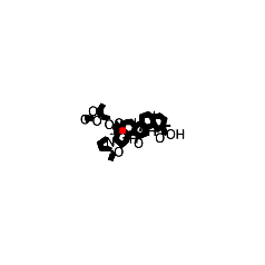 CC(=O)[C@@H]1CCCN1[C@H]1CC[C@@]2(C)[C@@H](CC[C@]3(C)[C@@H]2C(=O)C=C2[C@@H]4C[C@@](C)(C(=O)O)CC[C@]4(C)CC[C@]23C)[C@]1(C)C(=O)OCc1oc(=O)oc1C